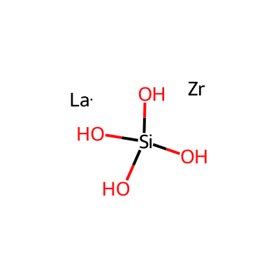 O[Si](O)(O)O.[La].[Zr]